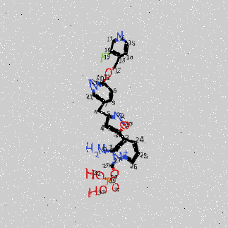 Nc1c(-c2cc(Cc3ccc(OCc4ccncc4F)nc3)no2)ccc[n+]1COP(=O)(O)O